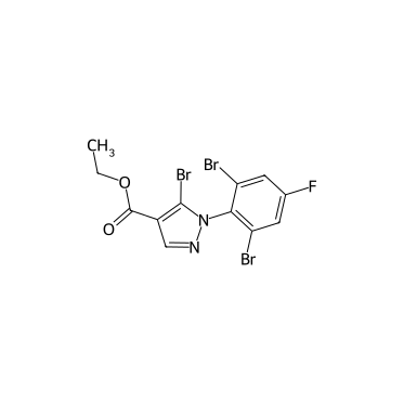 CCOC(=O)c1cnn(-c2c(Br)cc(F)cc2Br)c1Br